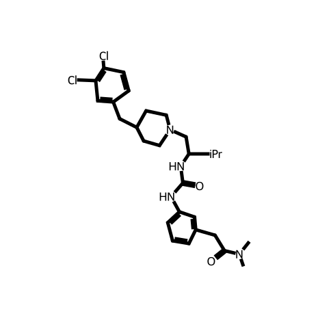 CC(C)C(CN1CCC(Cc2ccc(Cl)c(Cl)c2)CC1)NC(=O)Nc1cccc(CC(=O)N(C)C)c1